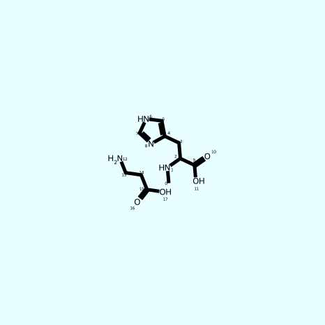 CNC(Cc1c[nH]cn1)C(=O)O.NCCC(=O)O